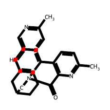 Cc1cnc(NC2CC3CCC2N(C(=O)c2nc(C)ccc2-c2ncccn2)C3)cn1